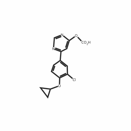 O=C(O)Oc1cc(-c2ccc(OC3CC3)c(Cl)c2)ncn1